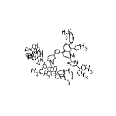 CC[C@@H]1C[C@]1(NC(=O)[C@@H]1C[C@@H](Oc2cc(-c3nc(C(C)C)cs3)nc3c(C)c(OC)ccc23)CN1C(=O)OC(C)(C)C)C(=O)NS(=O)(=O)C1(C)CC1